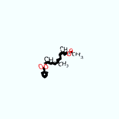 CC(=O)OCC=C(C)CCC=C(C)CCC=C(C)COC(=O)c1ccccc1